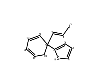 IC=CC1(c2cccs2)C=CC=CC1